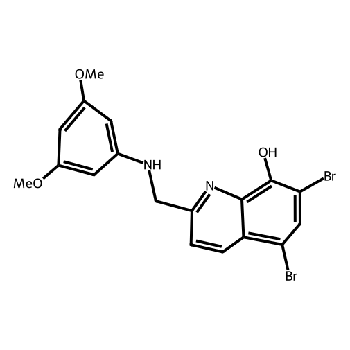 COc1cc(NCc2ccc3c(Br)cc(Br)c(O)c3n2)cc(OC)c1